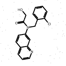 O=C(CO)N(Cc1ccccc1Cl)c1ccc2cccnc2c1